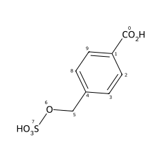 O=C(O)c1ccc(COS(=O)(=O)O)cc1